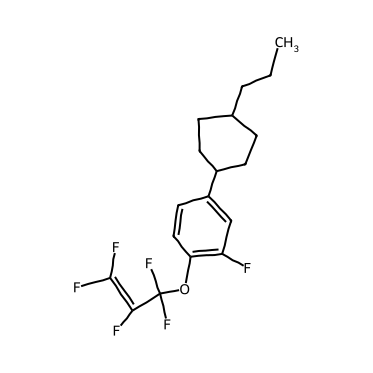 CCCC1CCC(c2ccc(OC(F)(F)C(F)=C(F)F)c(F)c2)CC1